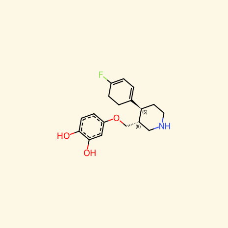 Oc1ccc(OC[C@H]2CNCC[C@@H]2C2=CC=C(F)CC2)cc1O